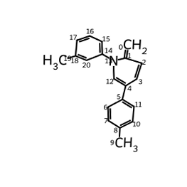 C=C1C=CC(c2ccc(C)cc2)=CN1c1cccc(C)c1